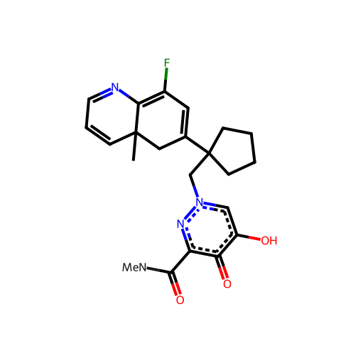 CNC(=O)c1nn(CC2(C3=CC(F)=C4N=CC=CC4(C)C3)CCCC2)cc(O)c1=O